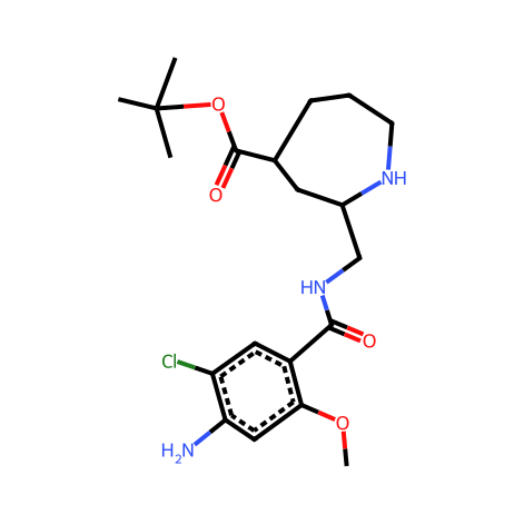 COc1cc(N)c(Cl)cc1C(=O)NCC1CC(C(=O)OC(C)(C)C)CCCN1